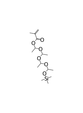 C=C(C)C(=O)OC(C)OC(C)OC(C)OC(C)O[Si](C)(C)C